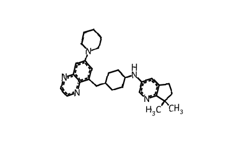 CC1(C)CCc2cc(NC3CCC(Cc4cc(N5CCCCC5)cc5nccnc45)CC3)cnc21